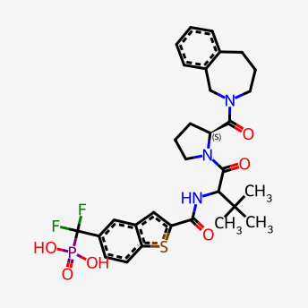 CC(C)(C)C(NC(=O)c1cc2cc(C(F)(F)P(=O)(O)O)ccc2s1)C(=O)N1CCC[C@H]1C(=O)N1CCCc2ccccc2C1